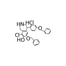 Cl.Oc1c(OCc2ccccc2)cc2c(c1Cl)CCNCC2c1ccc(OCc2ccccc2)cc1